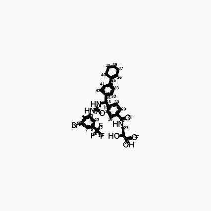 O=C(Nc1cc(Br)cc(C(F)(F)F)c1)NC(c1ccc(C(=O)NCC(O)C(=O)O)cc1)c1ccc(C2=CCCCC2)cc1